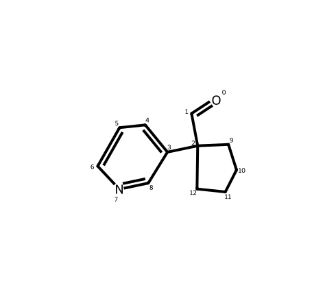 O=CC1(c2cccnc2)CCCC1